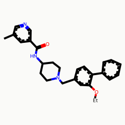 CCOc1cc(CN2CCC(NC(=O)c3cncc(C)c3)CC2)ccc1-c1ccccc1